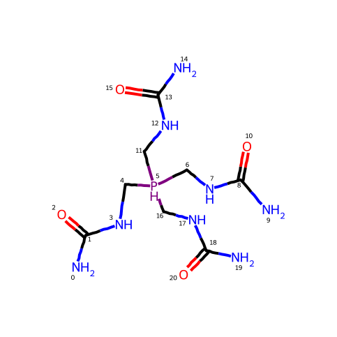 NC(=O)NC[PH](CNC(N)=O)(CNC(N)=O)CNC(N)=O